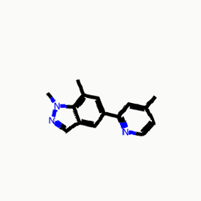 Cc1ccnc(-c2cc(C)c3c(cnn3C)c2)c1